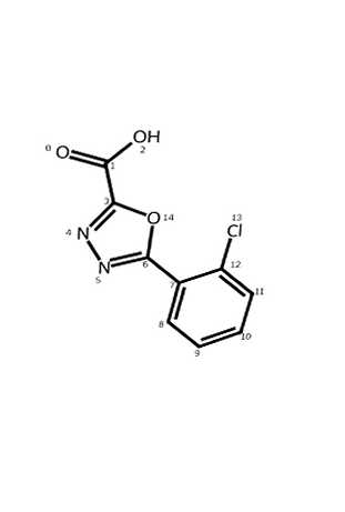 O=C(O)c1nnc(-c2ccccc2Cl)o1